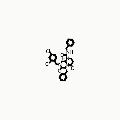 O=C1[C@H](Cc2ccccc2)N2C(=O)CCN(C(=O)NCc3ccccc3)[C@H]2CN1Cc1ccc(Cl)cc1Cl